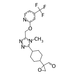 Cn1c(COc2cc(C(F)(F)F)ccn2)nnc1C1CCC(C2(C=O)CO2)CC1